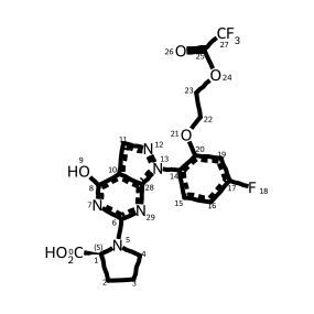 O=C(O)[C@@H]1CCCN1c1nc(O)c2cnn(-c3ccc(F)cc3OCCOC(=O)C(F)(F)F)c2n1